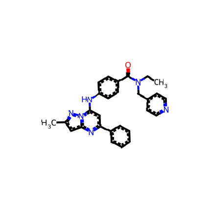 CCN(Cc1ccncc1)C(=O)c1ccc(Nc2cc(-c3ccccc3)nc3cc(C)nn23)cc1